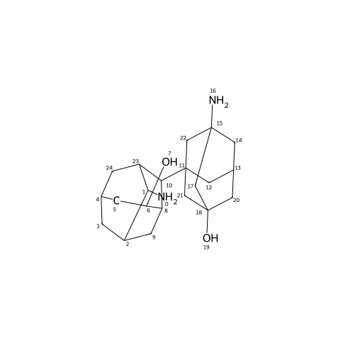 NC1C2CC3CC(O)C(C2)C(C24CC5CC(N)(CC(O)(C5)C2)C4)C1C3